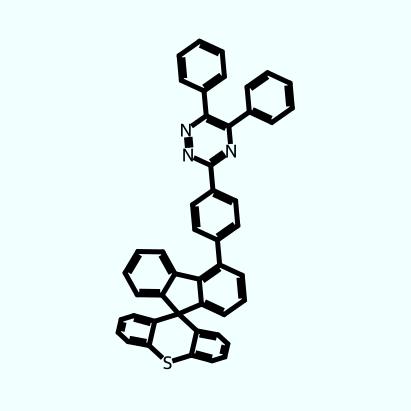 c1ccc(-c2nnc(-c3ccc(-c4cccc5c4-c4ccccc4C54c5ccccc5Sc5ccccc54)cc3)nc2-c2ccccc2)cc1